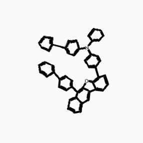 c1ccc(-c2ccc(-c3c4ccccc4cc4c3oc3c(-c5ccc(N(c6ccccc6)c6ccc(-c7ccccc7)cc6)cc5)cccc34)cc2)cc1